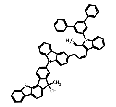 C=Cc1c(/C=C\Cc2ccc3c(c2)c2ccccc2n3-c2ccc3c(c2)C(C)(C)c2ccc4c(sc5ccccc54)c2-3)c2ccccc2n1-c1cc(-c2ccccc2)cc(-c2ccccc2)c1